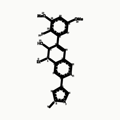 CCN1c2cc(-c3cnn(C)c3)ncc2C=C(c2cc(OC)cc(OC)c2F)C1O